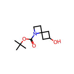 CC(C)(C)OC(=O)N1CCC12CC(O)C2